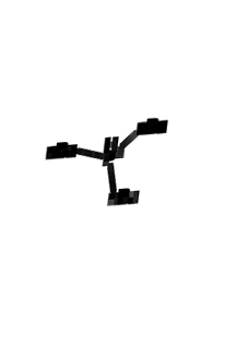 CCCC[PH2](CCCC)CCCC